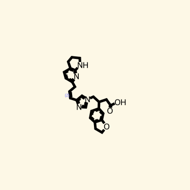 O=C(O)CC(Cn1cnc(/C=C\Cc2ccc3c(n2)NCCC3)c1)c1ccc2c(c1)OCC2